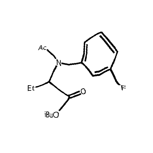 CCC(C(=O)OCC(C)C)N(C(C)=O)c1cccc(F)c1